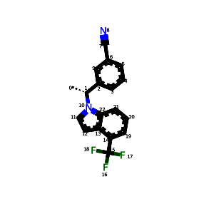 C[C@H](c1cccc(C#N)c1)n1ccc2c(C(F)(F)F)cccc21